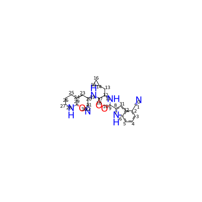 N#Cc1cccc2[nH]c(C(=O)NC(CC3CC3)C(=O)NC(C#N)C[C@@H]3CCCNC3=O)cc12